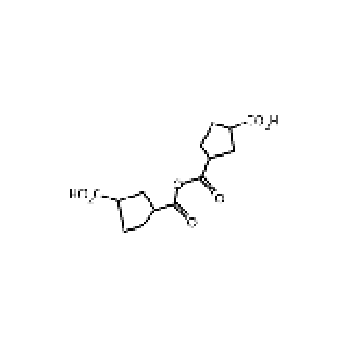 O=C(O)C1CCC(C(=O)OC(=O)C2CCC(C(=O)O)C2)C1